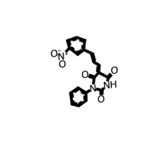 O=C1NC(=O)N(c2ccccc2)C(=O)/C1=C\C=C\c1cccc([N+](=O)[O-])c1